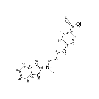 CN(CCCOc1ccc(C(=O)O)cc1)c1nc2ccccc2o1